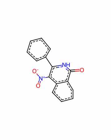 O=c1[nH]c(-c2ccccc2)c([N+](=O)[O-])c2ccccc12